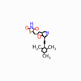 Cc1cc(C)c(C#Cc2cncc3cc(C=C4SC(=O)NC4=O)oc23)c(C)c1